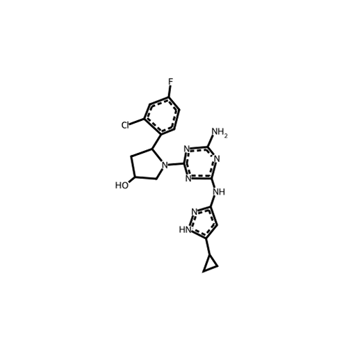 Nc1nc(Nc2cc(C3CC3)[nH]n2)nc(N2CC(O)CC2c2ccc(F)cc2Cl)n1